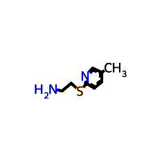 Cc1ccc(SCCN)nc1